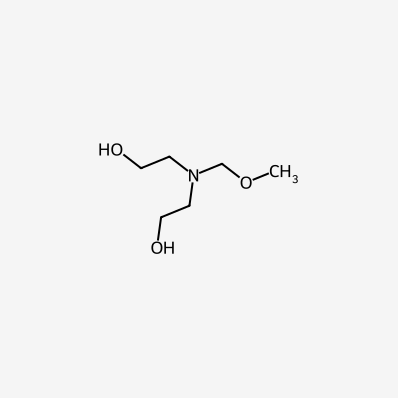 COCN(CCO)CCO